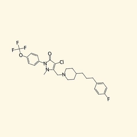 Cn1c(CN2CCC(CCCc3ccc(F)cc3)CC2)c(Cl)c(=O)n1-c1ccc(OC(F)(F)F)cc1